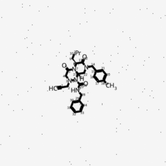 C#CCN1CC(=O)N2[C@@H](CC(C)C)C(=O)N(Cc3ccc(C)cc3)C[C@@H]2N1C(=O)NCc1ccccc1